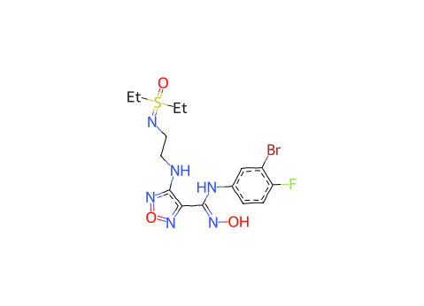 CCS(=O)(CC)=NCCNc1nonc1/C(=N/O)Nc1ccc(F)c(Br)c1